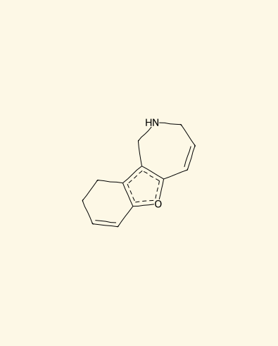 C1=Cc2oc3c(c2CC1)CNCC=C3